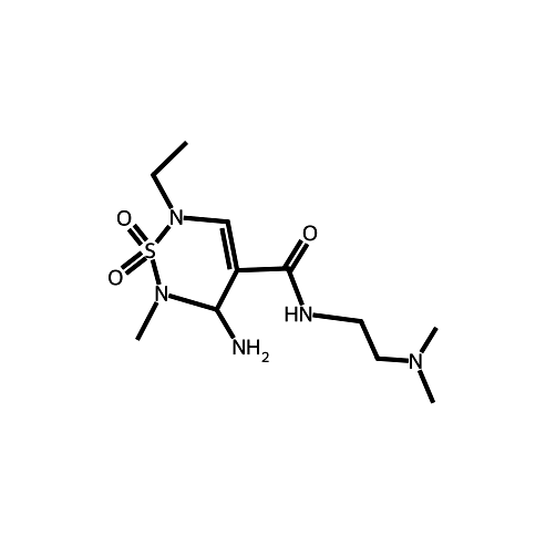 CCN1C=C(C(=O)NCCN(C)C)C(N)N(C)S1(=O)=O